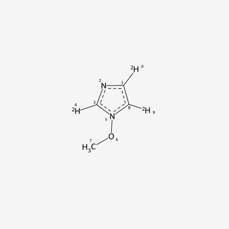 [2H]c1nc([2H])n(OC)c1[2H]